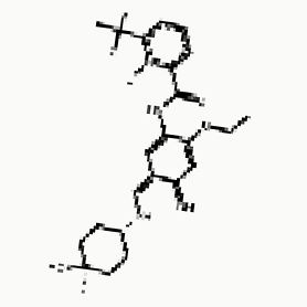 CCOC1=CC(=N)/C(=C\N[C@H]2CC[C@](C)(O)CC2)C=C1NC(=O)c1cccc(C(C)(F)F)[n+]1O